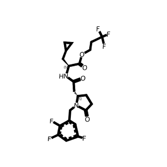 O=C(C[C@@H]1CCC(=O)N1Cc1cc(F)cc(F)c1F)N[C@@H](CC1CC1)C(=O)OCCC(F)(F)F